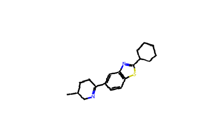 CC1CCC(c2ccc3sc(C4CCCCC4)nc3c2)=NC1